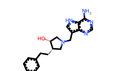 Nc1ncnc2c(CN3C[C@H](CCc4ccccc4)[C@H](O)C3)c[nH]c12